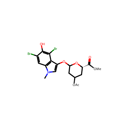 COC(=O)[C@@H]1CC(OC(C)=O)CC(Oc2cn(C)c3cc(Br)c(O)c(Br)c23)O1